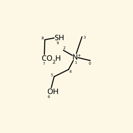 C[N+](C)(C)CCO.O=C(O)CS